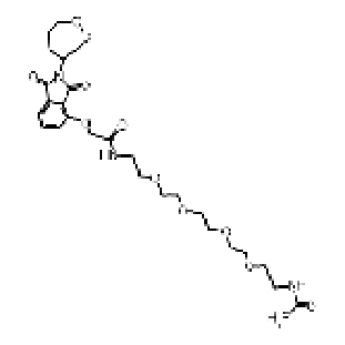 O=C(P)NCCOCCOCCOCCOCCNC(=O)COc1cccc2c1C(=O)N(C1CCCOOC1)C2=O